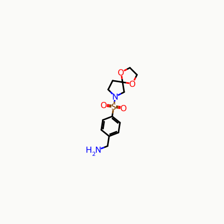 NCc1ccc(S(=O)(=O)N2CCC3(C2)OCCO3)cc1